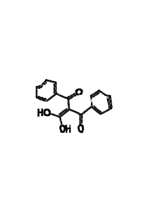 O=C(C(C(=O)c1ccccc1)=C(O)O)c1ccccc1